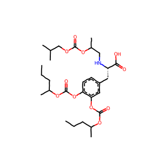 CCCC(C)OC(=O)Oc1ccc(C[C@H](NCC(C)OC(=O)OCC(C)C)C(=O)O)cc1OC(=O)OC(C)CCC